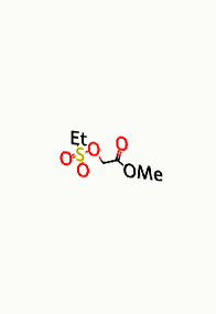 CCS(=O)(=O)OCC(=O)OC